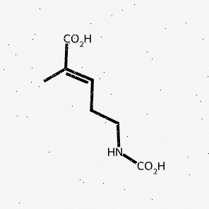 CC(=CCCNC(=O)O)C(=O)O